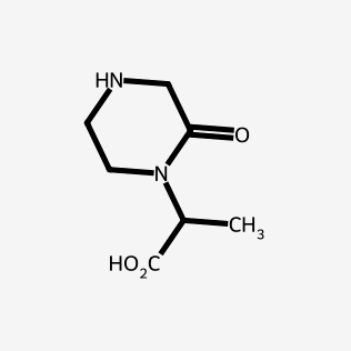 CC(C(=O)O)N1CCNCC1=O